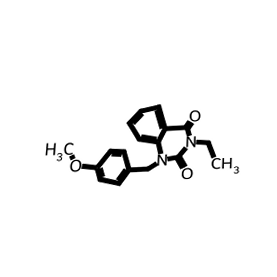 CCn1c(=O)c2ccccc2n(Cc2ccc(OC)cc2)c1=O